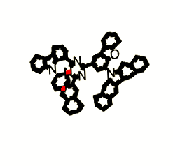 c1ccc(-n2c3ccccc3c3cccc(-c4nc(-c5ccc6ccccc6c5)nc(-c5cc(-n6c7cc8ccccc8cc7c7cc8ccccc8cc76)c6oc7ccccc7c6c5)n4)c32)cc1